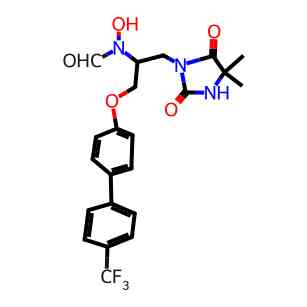 CC1(C)NC(=O)N(CC(COc2ccc(-c3ccc(C(F)(F)F)cc3)cc2)N(O)C=O)C1=O